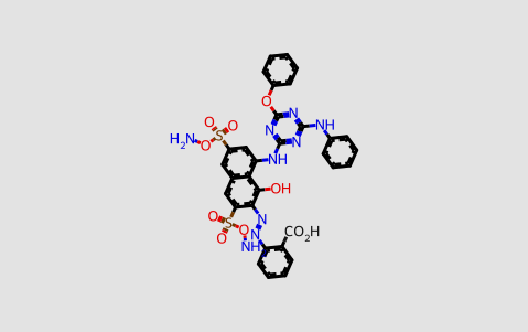 NOS(=O)(=O)c1cc(Nc2nc(Nc3ccccc3)nc(Oc3ccccc3)n2)c2c(O)c(N=Nc3ccccc3C(=O)O)c(S(=O)(=O)ON)cc2c1